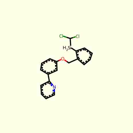 ClC(Cl)[SiH2]c1ccccc1COc1cccc(-c2ccccn2)c1